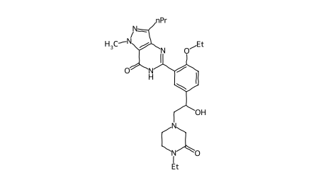 CCCc1nn(C)c2c(=O)[nH]c(-c3cc(C(O)CN4CCN(CC)C(=O)C4)ccc3OCC)nc12